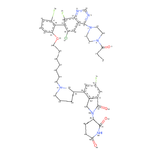 CCC(=O)N1CCN(c2ncnc3c(F)c(-c4c(F)cccc4OCCCCCCCN4CCCC(c5cc(F)cc6c5CN(C5CCC(=O)NC5=O)C6=O)C4)c(Cl)cc23)CC1